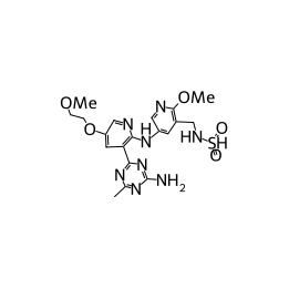 COCCOc1cnc(Nc2cnc(OC)c(CN[SH](=O)=O)c2)c(-c2nc(C)nc(N)n2)c1